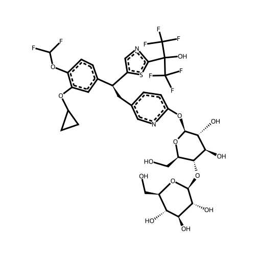 OC[C@H]1O[C@@H](O[C@H]2[C@H](O)[C@@H](O)[C@H](Oc3ccc(C[C@@H](c4ccc(OC(F)F)c(OC5CC5)c4)c4cnc(C(O)(C(F)(F)F)C(F)(F)F)s4)cn3)O[C@@H]2CO)[C@H](O)[C@@H](O)[C@@H]1O